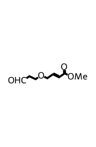 COC(=O)/C=C/COCCC=O